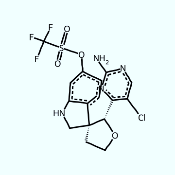 Nc1ncc(Cl)c([C@@H]2OCC[C@@]23CNc2cc(OS(=O)(=O)C(F)(F)F)ccc23)n1